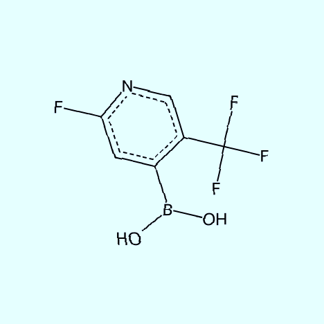 OB(O)c1cc(F)ncc1C(F)(F)F